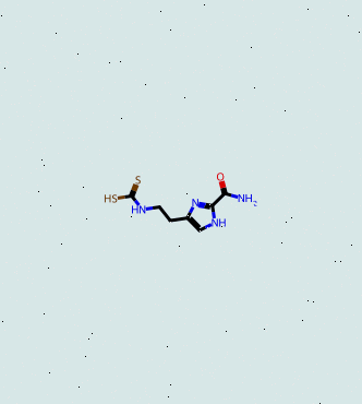 NC(=O)c1nc(CCNC(=S)S)c[nH]1